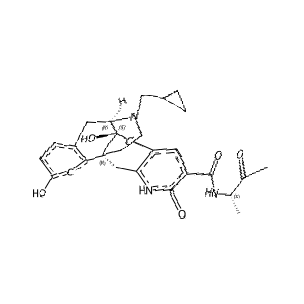 CC(=O)[C@H](C)NC(=O)c1cc2c([nH]c1=O)C[C@]13CCN(CC4CC4)[C@H](Cc4ccc(O)cc41)[C@]3(O)C2